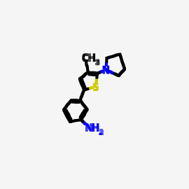 Cc1cc(-c2cccc(N)c2)sc1N1CCCC1